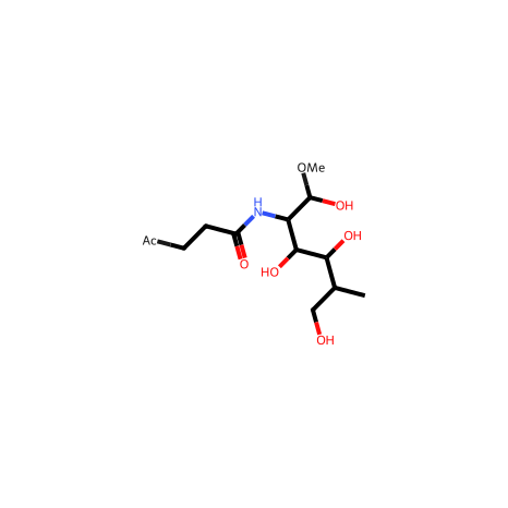 COC(O)C(NC(=O)CCC(C)=O)C(O)C(O)C(C)CO